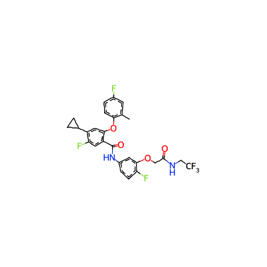 Cc1cc(F)ccc1Oc1cc(C2CC2)c(F)cc1C(=O)Nc1ccc(F)c(OCC(=O)NCC(F)(F)F)c1